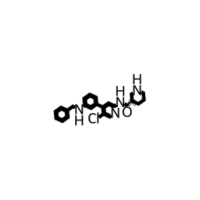 O=C(Nc1cc(-c2cccc(NCc3ccccc3)c2)c(Cl)cn1)[C@@H]1CCCNC1